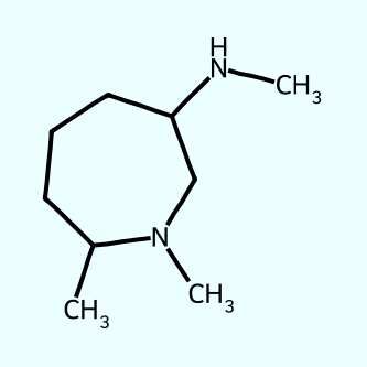 CNC1CCCC(C)N(C)C1